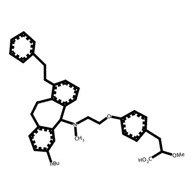 CCCCc1ccc2c(c1)C(N(C)CCOc1ccc(CC(OC)C(=O)O)cc1)c1cccc(CCc3ccccc3)c1CC2